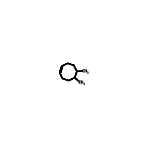 CC1CCC=CCCC1C